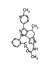 CC(=O)Nc1nc2c(s1)-c1c(c(-c3ccc(C)nc3)nn1-c1ccccc1C)C(C)C2